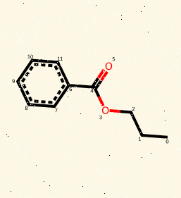 CCCOC(=O)c1cc[c]cc1